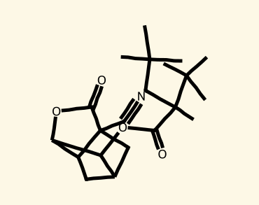 CC(C)(C)CC(C)(C(=O)OC1C2CC3C1OC(=O)C3(C#N)C2)C(C)(C)C